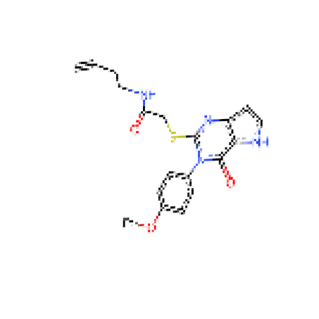 C#CCCNC(=O)CSc1nc2cc[nH]c2c(=O)n1-c1ccc(OCC)cc1